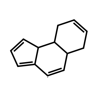 [C]1=CC2CC=CCC2C2C=CC=C12